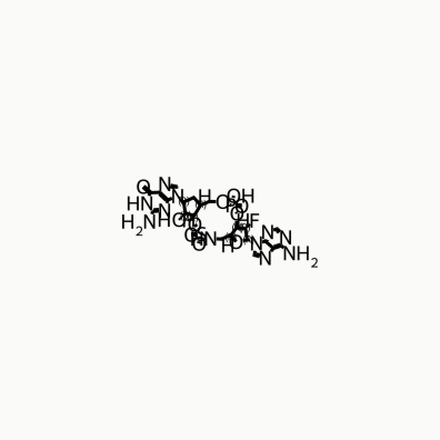 Nc1nc2c(ncn2[C@@H]2C[C@@H]3COP(=O)(O)O[C@H]4[C@@H](F)[C@H](n5cnc6c(N)ncnc65)O[C@@H]4CNS(=O)(=O)O[C@H]3[C@H]2O)c(=O)[nH]1